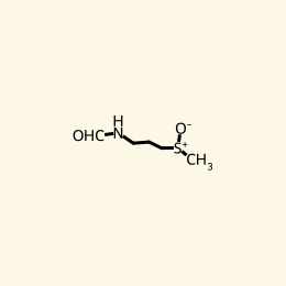 C[S+]([O-])CCCNC=O